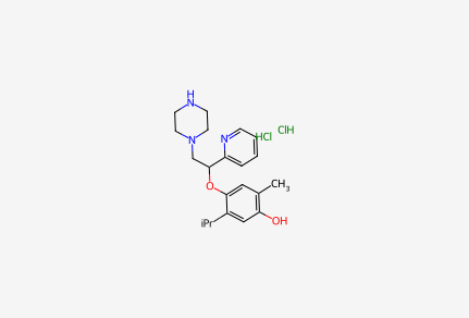 Cc1cc(OC(CN2CCNCC2)c2ccccn2)c(C(C)C)cc1O.Cl.Cl